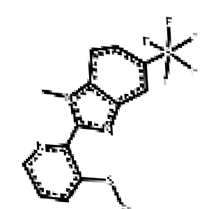 CCSc1cccnc1-c1nc2cc(S(F)(F)(F)(F)F)ccc2n1C